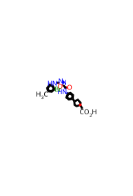 Cc1ccc(Nc2nnc(C(=O)Nc3ccc(C4CCC(CC(=O)O)CC4)cc3)o2)c(Br)c1